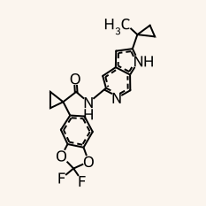 CC1(c2cc3cc(NC(=O)C4(c5ccc6c(c5)OC(F)(F)O6)CC4)ncc3[nH]2)CC1